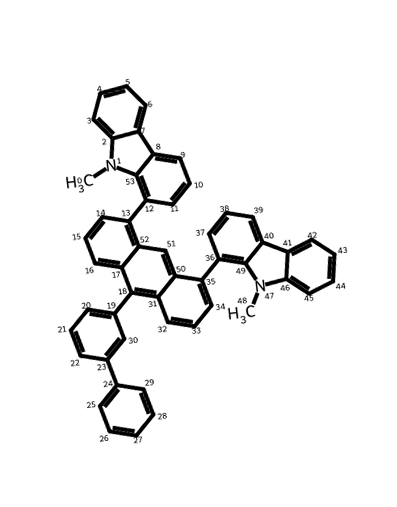 Cn1c2ccccc2c2cccc(-c3cccc4c(-c5cccc(-c6ccccc6)c5)c5cccc(-c6cccc7c8ccccc8n(C)c67)c5cc34)c21